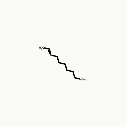 CC=NCCCCCCCCCCC